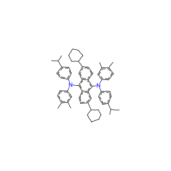 Cc1ccc(N(c2ccc(C(C)C)cc2)c2c3ccc(C4CCCCC4)cc3c(N(c3ccc(C(C)C)cc3)c3ccc(C)c(C)c3)c3ccc(C4CCCCC4)cc23)cc1C